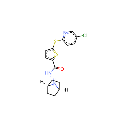 O=C(N[C@@H]1C[C@H]2CC[C@@H]1N2)c1ccc(Sc2ccc(Cl)cn2)s1